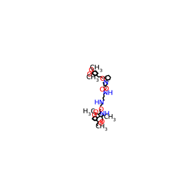 CCC1OOCC2=C(C)NC(COCCNCCCCNC(=O)O[C@@H]3CCN([C@@H]4CCCC[C@H]4OCCc4ccc(OC)c(OC)c4)C3)=C(C(=O)OC)C2c2ccccc21